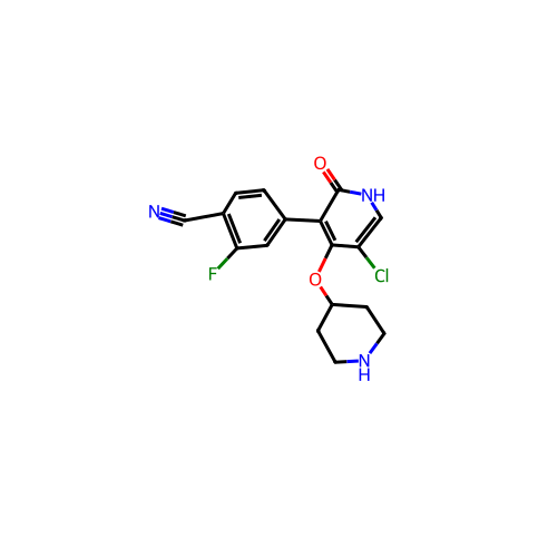 N#Cc1ccc(-c2c(OC3CCNCC3)c(Cl)c[nH]c2=O)cc1F